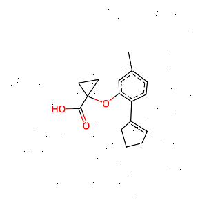 Cc1ccc(C2=CCCC2)c(OC2(C(=O)O)CC2)c1